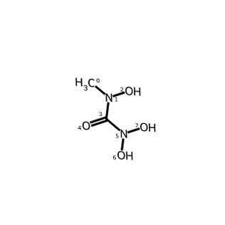 CN(O)C(=O)N(O)O